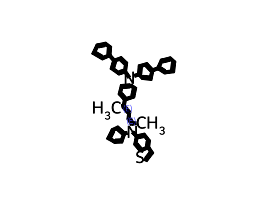 C/C(=C\C=C(/C)N(c1ccccc1)c1ccc2ccsc2c1)c1ccc(N(c2ccc(-c3ccccc3)cc2)c2ccc(-c3ccccc3)cc2)cc1